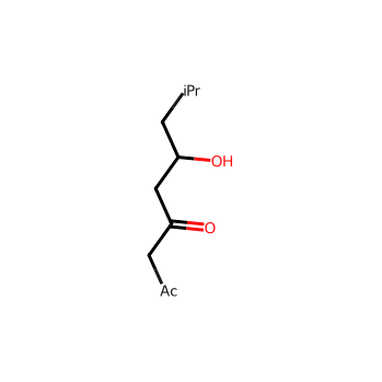 CC(=O)CC(=O)CC(O)CC(C)C